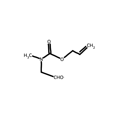 C=CCOC(=O)N(C)C[C]=O